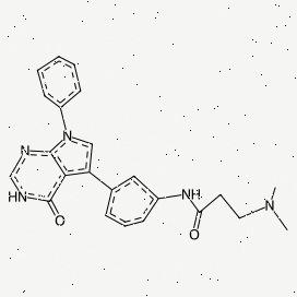 CN(C)CCC(=O)Nc1cccc(-c2cn(-c3ccccc3)c3nc[nH]c(=O)c23)c1